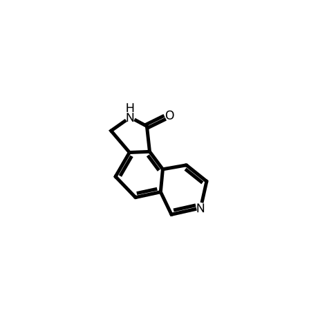 O=C1NCc2ccc3cnccc3c21